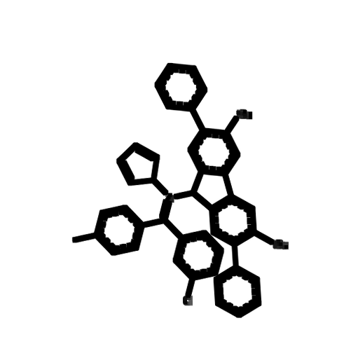 Cc1ccc([C](c2cccc(Cl)c2)=[Zr]([CH]2C=CC=C2)[CH]2c3cc(-c4ccccc4)c(C(C)(C)C)cc3-c3cc(C(C)(C)C)c(-c4ccccc4)cc32)cc1